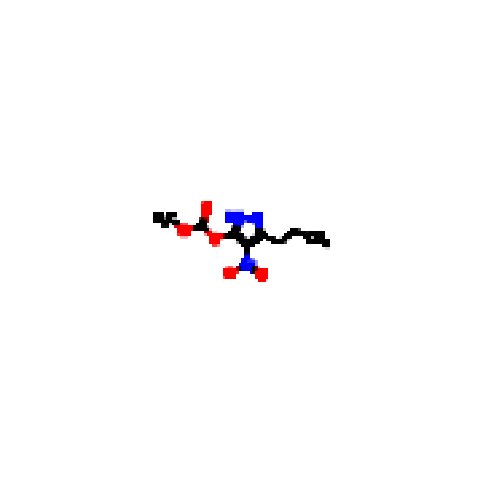 CCCc1n[nH]c(OC(=O)OC)c1[N+](=O)[O-]